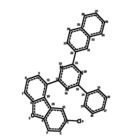 Clc1ccc2oc3cccc(-c4nc(-c5ccccc5)nc(-c5ccc6ccccc6c5)n4)c3c2c1